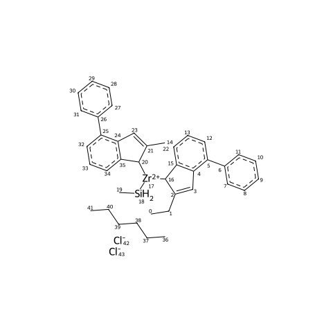 CCC1=Cc2c(-c3ccccc3)cccc2[CH]1[Zr+2]([SiH2]C)[CH]1C(C)=Cc2c(-c3ccccc3)cccc21.CCCCCC.[Cl-].[Cl-]